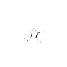 Cn1nc(CO)c(Br)c1C(F)(F)F